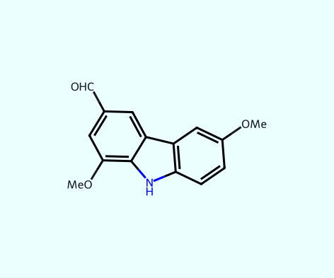 COc1ccc2[nH]c3c(OC)cc(C=O)cc3c2c1